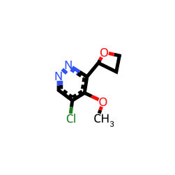 COc1c(Cl)cnnc1C1CCO1